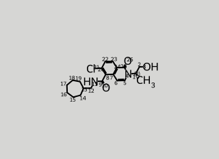 C[C@H](CO)n1ccc2c(C(=O)NCC3CCCCCC3)c(Cl)ccc2c1=O